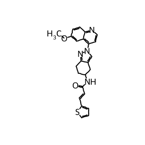 COc1ccc2nccc(-n3cc4c(n3)CCC(NC(=O)C=Cc3cccs3)C4)c2c1